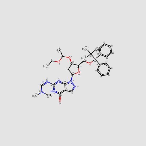 CCOC(C)O[C@@H]1C[C@H](n2ncc3c(=O)[nH]c(/N=C\N(C)C)nc32)O[C@@H]1CO[Si](c1ccccc1)(c1ccccc1)C(C)(C)C